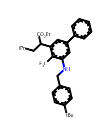 CCOC(=O)C(CC(C)C)c1cc(-c2ccccc2)cc(NCc2ccc(C(C)(C)C)cc2)c1C(F)(F)F